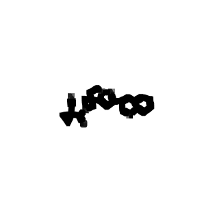 N#CC1(C(=O)N2CC3(CCn4nc(-c5cnc6ccccc6c5)cc43)C2)CC1